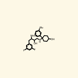 CC(=O)NC(Cc1cc(F)cc(F)c1)C(O)CNC1(c2cccc(C(C)(C)C)c2)CCC(O)CC1